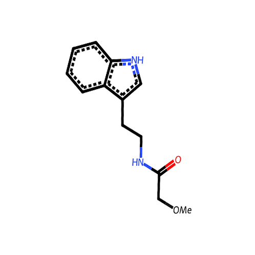 COCC(=O)NCCc1c[nH]c2ccccc12